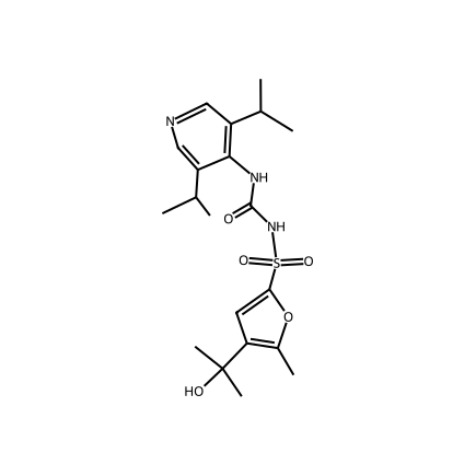 Cc1oc(S(=O)(=O)NC(=O)Nc2c(C(C)C)cncc2C(C)C)cc1C(C)(C)O